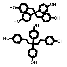 Oc1ccc(CC(Cc2ccc(O)cc2)(c2ccc(O)cc2)c2ccc(O)cc2)cc1.Oc1ccc(CCC(CCc2ccc(O)cc2)(c2ccc(O)cc2)c2ccc(O)cc2)cc1